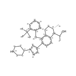 CC(O)N1c2ccc(-c3cnn(C4CCNCC4)c3)c(Oc3ncccc3C(F)(F)F)c2CC[C@@H]1C